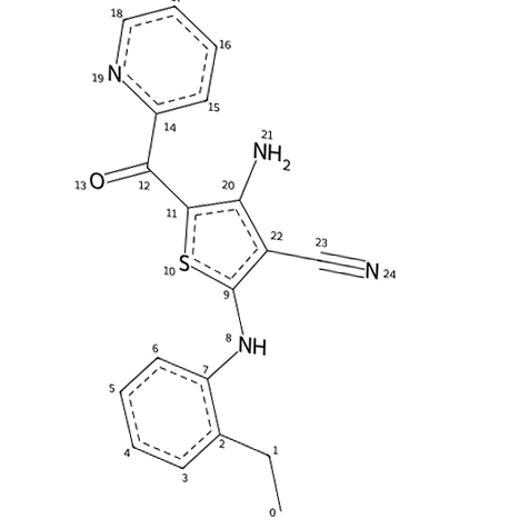 CCc1ccccc1Nc1sc(C(=O)c2ccccn2)c(N)c1C#N